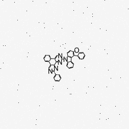 c1ccc(-c2ncc3c4ccccc4c4cnc(-n5c6ccccc6c6c7c(ccc65)oc5ccccc57)nc4c3n2)cc1